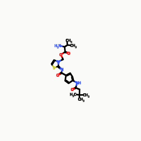 CC(C)C(N)C(=O)OCn1ccsc1=NC(=O)c1ccc(NC(=O)CC(C)(C)C)cc1